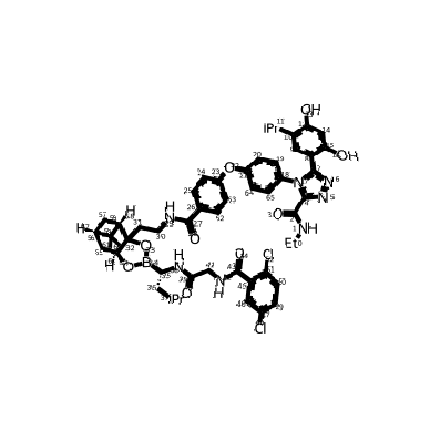 CCNC(=O)c1nnc(-c2cc(C(C)C)c(O)cc2O)n1-c1ccc(Oc2ccc(C(=O)NCCC34OB([C@@H](CC(C)C)NC(=O)CNC(=O)c5cc(Cl)ccc5Cl)O[C@H]3C[C@@H]3C[C@H]4C3(C)C)cc2)cc1